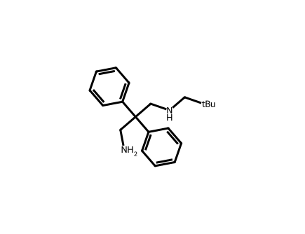 CC(C)(C)CNCC(CN)(c1ccccc1)c1ccccc1